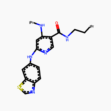 CC(C)CCNC(=O)c1cnc(Nc2ccc3ncsc3c2)cc1NC(C)C